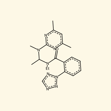 CCN(C(=O)c1ccccc1-n1ncnn1)C(C)N(C)c1nc(C)cc(C)n1